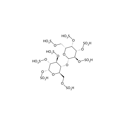 O=S(=O)(O)OC[C@H]1O[C@@H](O[C@H]2[C@H](OS(=O)(=O)O)[C@@H](OS(=O)(=O)O)[C@@H](OS(=O)(=O)O)O[C@@H]2COS(=O)(=O)O)[C@H](OS(=O)(=O)O)[C@@H](OS(=O)(=O)O)[C@H]1OS(=O)(=O)O